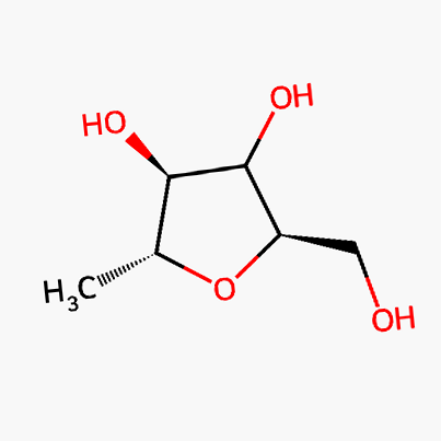 C[C@H]1O[C@H](CO)C(O)[C@@H]1O